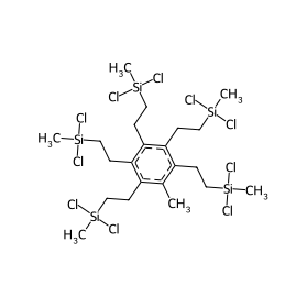 Cc1c(CC[Si](C)(Cl)Cl)c(CC[Si](C)(Cl)Cl)c(CC[Si](C)(Cl)Cl)c(CC[Si](C)(Cl)Cl)c1CC[Si](C)(Cl)Cl